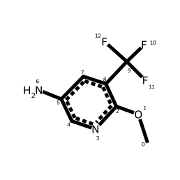 COc1ncc(N)cc1C(F)(F)F